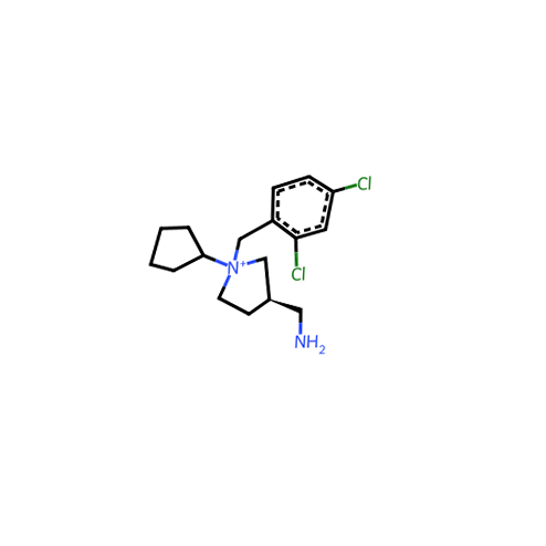 NC[C@H]1CC[N+](Cc2ccc(Cl)cc2Cl)(C2CCCC2)C1